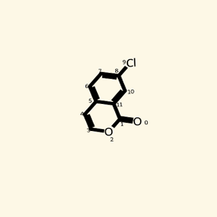 O=c1occc2ccc(Cl)cc12